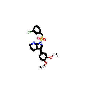 COc1ccc(-c2cn(S(=O)(=O)Cc3cccc(Cl)c3)c3ncccc23)cc1OC